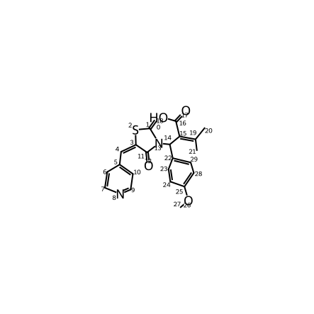 C=c1s/c(=C/c2ccncc2)c(=O)n1C(C(C(=O)O)=C(C)C)c1ccc(OC)cc1